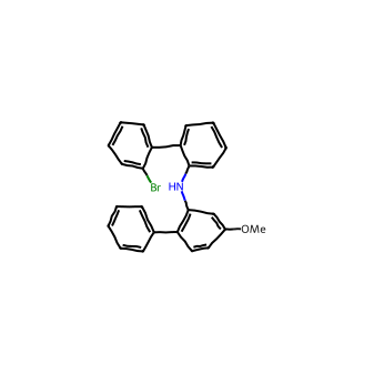 COc1ccc(-c2ccccc2)c(Nc2ccccc2-c2ccccc2Br)c1